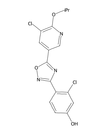 CC(C)Oc1ncc(-c2nc(-c3ccc(O)cc3Cl)no2)cc1Cl